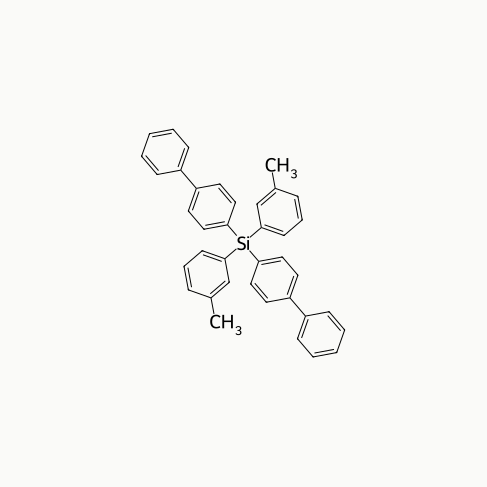 Cc1cccc([Si](c2ccc(-c3ccccc3)cc2)(c2ccc(-c3ccccc3)cc2)c2cccc(C)c2)c1